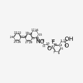 O=C(O)Cc1cccc(OCCON=C2CCCc3cc(-c4ccccc4)ccc32)c1F